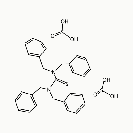 O=S(O)O.O=S(O)O.S=C(N(Cc1ccccc1)Cc1ccccc1)N(Cc1ccccc1)Cc1ccccc1